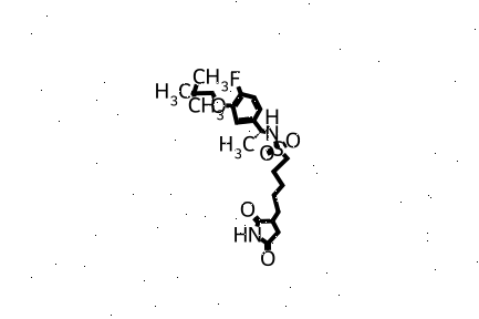 C[C@@H](NS(=O)(=O)CCCCCC1CC(=O)NC1=O)c1ccc(F)c(OCC(C)(C)C)c1